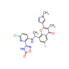 Cc1c(-c2ccn(C)c2)oc2c(C(C)Nc3ccc(Cl)nc3-c3noc(=O)[nH]3)cc(F)cc2c1=O